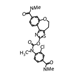 CNC(=O)c1ccc(N(C)C(=O)Oc2nc3c(s2)CCOc2cc(C(=O)NC)ccc2-3)c(Cl)c1